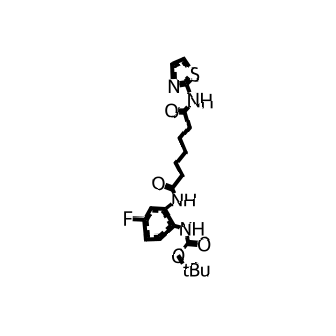 CC(C)(C)OC(=O)Nc1ccc(F)cc1NC(=O)CCCCCC(=O)Nc1nccs1